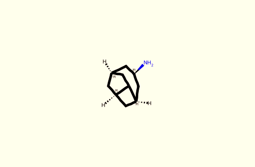 N[C@@H]1C[C@H]2CC3[C@H](C2)C[C@@H]3C1